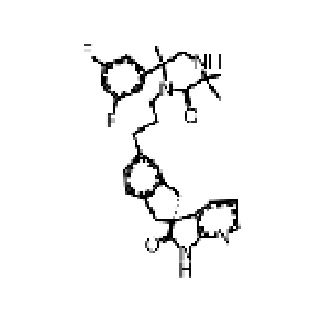 CC1(C)NC[C@@](C)(c2cc(F)cc(F)c2)N(CCCc2ccc3c(c2)C[C@@]2(C3)C(=O)Nc3ncccc32)C1=O